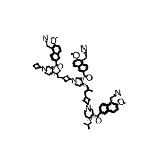 COc1ccc2cc(C(=O)[C@H]3CN(C4CC(CC(C)[C@H]5CCN(C6CCC6)C[C@H]5C(=O)c5ccc6c(CC#N)c(OC)ccc6c5)C4)CC[C@H]3CC(C)CC3CC(N4CC[C@H](CC(C)C)[C@H](C(=O)c5ccc6c(CC#N)c(OC)ccc6c5)C4)C3)ccc2c1CC#N